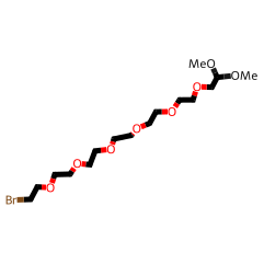 COC(COCCOCCOCCOCCOCCOCCBr)OC